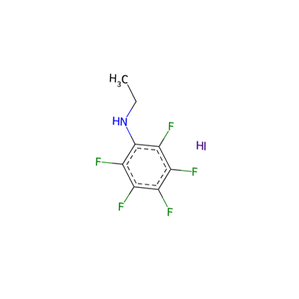 CCNc1c(F)c(F)c(F)c(F)c1F.I